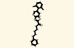 Cc1cccc(C)c1-c1cnc2nc(C(=O)CCCCCc3ccccc3)oc2c1